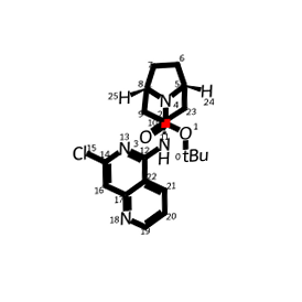 CC(C)(C)OC(=O)N1[C@@H]2CC[C@H]1C[C@@H](Nc1nc(Cl)cc3ncccc13)C2